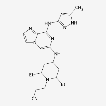 CCC1CC(Nc2cn3ccnc3c(Nc3cc(C)[nH]n3)n2)CC(CC)N1CCC#N